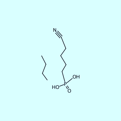 CCCC.N#CCCCCP(=O)(O)O